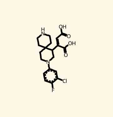 O=C(O)C=C(C(=O)O)C1CN(c2ccc(F)c(Cl)c2)CCC12CCNCC2